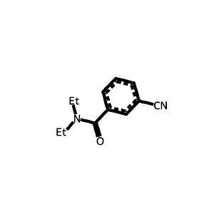 CCN(CC)C(=O)c1cccc(C#N)c1